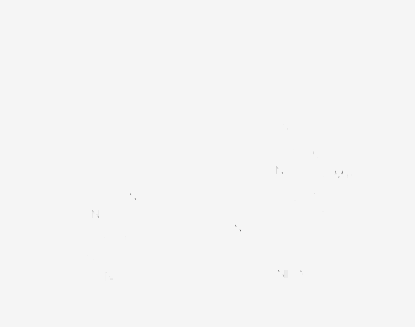 COC(=O)[C@H](CCN(CCCCc1ccc2c(n1)N(C(=O)OC(C)(C)C)CCC2)CCNC(C)=O)NC(=O)OCc1ccccc1